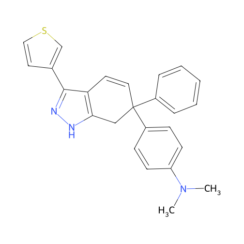 CN(C)c1ccc(C2(c3ccccc3)C=Cc3c(-c4ccsc4)n[nH]c3C2)cc1